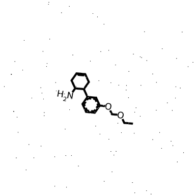 CCOCOc1cccc(C2CC=CCC2N)c1